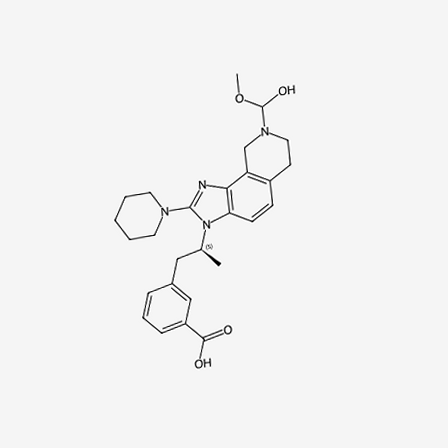 COC(O)N1CCc2ccc3c(nc(N4CCCCC4)n3[C@@H](C)Cc3cccc(C(=O)O)c3)c2C1